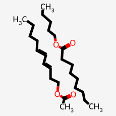 CCCCC=CC=CCCOC(C)=O.CCCCCCCCC(=O)OCCCCC